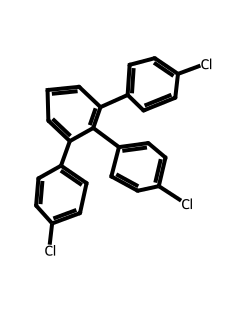 Clc1ccc(-c2cccc(-c3ccc(Cl)cc3)c2-c2ccc(Cl)cc2)cc1